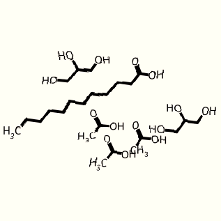 CC(=O)O.CC(=O)O.CC(=O)O.CCCCCCCCCCCC(=O)O.OCC(O)CO.OCC(O)CO